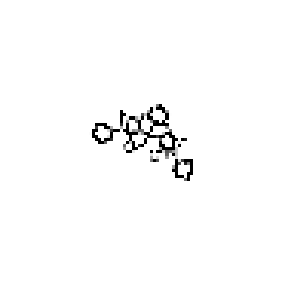 CCC(c1ccccc1)(c1c(C)n(C)n(-c2ccccc2)c1=O)c1c(C)n(C)n(-c2ccccc2)c1=O